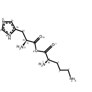 NCCC[C@@H](N)C(=O)OC(=O)[C@@H](N)Cc1cnc[nH]1